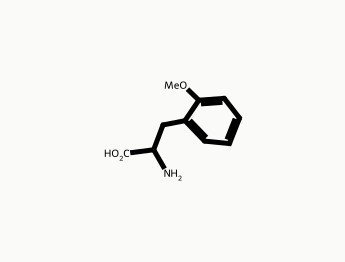 COc1ccccc1CC(N)C(=O)O